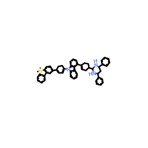 CS1(C)c2ccccc2-c2cc(C3=CC=C(n4c5ccccc5c5c(C6=CCC(C7NC(c8ccccc8)CC(c8ccccc8)N7)CC6)cccc54)CC3)ccc21